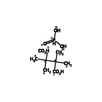 CC(C)(C(=O)O)C(C)(C)C(=O)O.O=[PH](O)O